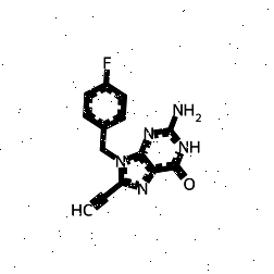 C#Cc1nc2c(=O)[nH]c(N)nc2n1Cc1ccc(F)cc1